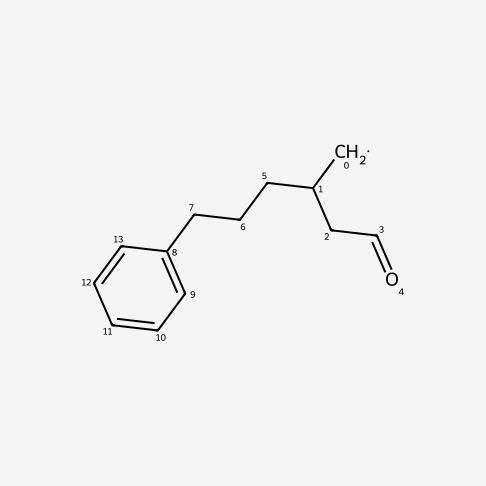 [CH2]C(CC=O)CCCc1ccccc1